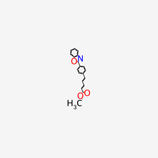 CCOC(=O)/C=C/C=C/c1ccc(-c2nc3ccccc3o2)cc1